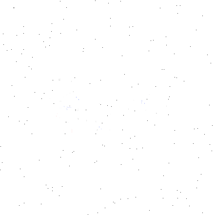 Cc1c(SCCN2CCOCC2)ccnc1CSC1(CC(=O)O)Nc2ccccc2N1